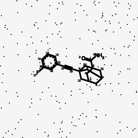 NC(=O)C12CC3CC(CC(C#Cc4cccc(F)c4)(C3)C1)C2